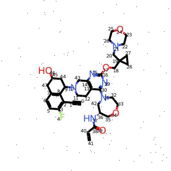 C#Cc1c(F)ccc2c1C(N1CCc3c(nc(OCC4(CN5CCOCC5)CC4)nc3N3CCOC[C@H](NC(=O)C=C)C3)C1)CC(O)C2